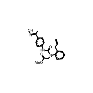 C=CCc1ccccc1N(CC(=O)OC)C(=O)Nc1ccc(/C(C)=N/O)cc1